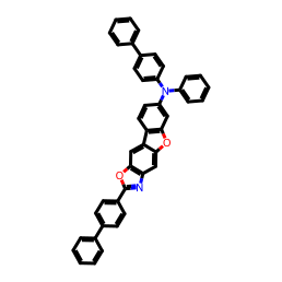 c1ccc(-c2ccc(-c3nc4cc5oc6cc(N(c7ccccc7)c7ccc(-c8ccccc8)cc7)ccc6c5cc4o3)cc2)cc1